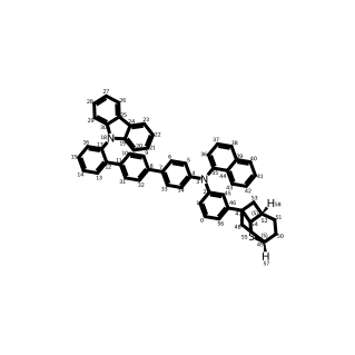 c1cc(N(c2ccc(-c3ccc(-c4ccccc4-n4c5ccccc5c5ccccc54)cc3)cc2)c2cccc3ccccc23)cc(C23C[C@@H]4CC[C@@H](C2)C3S4)c1